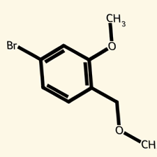 COCc1ccc(Br)cc1OC